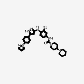 CCc1cc(NC(=O)N2CCC(N3CCCCC3)CC2)ccc1Nc1cc(-c2ccc(-n3cccn3)cc2)[nH]n1